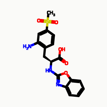 CS(=O)(=O)c1ccc(C[C@H](Nc2nc3ccccc3o2)C(=O)O)c(N)c1